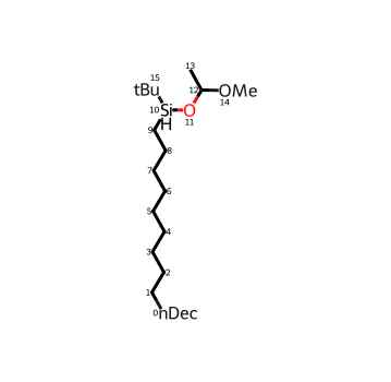 CCCCCCCCCCCCCCCCCCC[SiH](OC(C)OC)C(C)(C)C